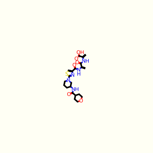 C=C(NC(=O)C(=C)NC(=O)c1csc(N2CCCC(NC(=O)C3CCOCC3)C2)n1)C(=O)O